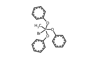 CP(Br)(Oc1ccccc1)(Oc1ccccc1)Oc1ccccc1